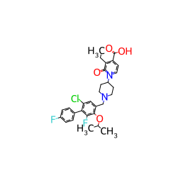 CCc1c(C(=O)O)ccn(C2CCN(Cc3cc(Cl)c(-c4ccc(F)cc4)c(F)c3OC(C)C)CC2)c1=O